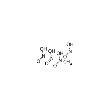 C.O=NO.O=NO.O=NO.O=NO